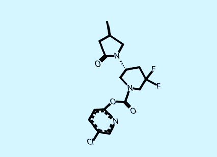 CC1CC(=O)N([C@H]2CN(C(=O)Oc3ccc(Cl)cn3)CC(F)(F)C2)C1